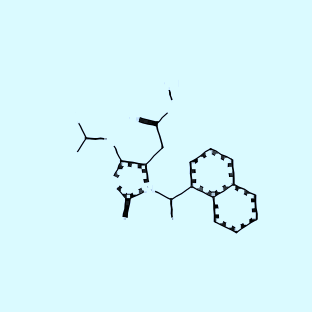 COC(=O)Cc1c(OC(C)C)oc(=O)n1C(C)c1cccc2ccccc12